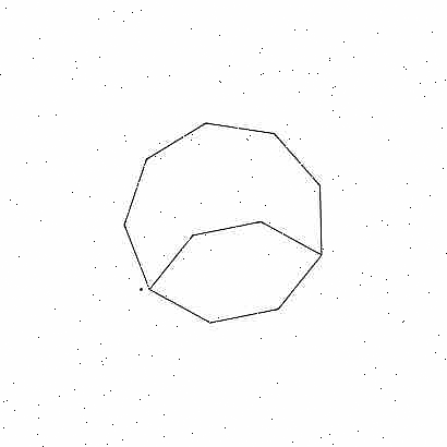 C1CC[C]2CCC(CC1)CC2